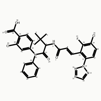 CC(C)(C)C(NC(=O)C=Cc1c(-n2ncnn2)ccc(Cl)c1F)C(=O)N(c1ccccc1)c1ccc(C(=O)O)c(Cl)c1